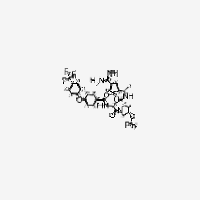 C[C@@H](NC(=O)[C@@H]1C[C@@H](OC(F)F)CN1C(=O)CNC(=O)c1ccc(Oc2ccc(C(F)(F)F)cc2)cc1)c1cc(C(=N)N)cs1